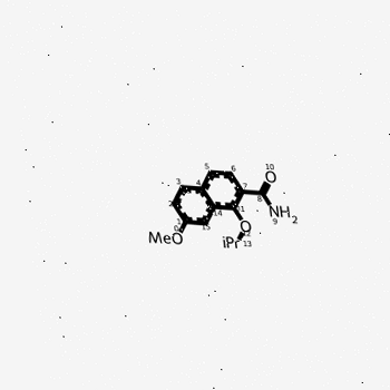 COc1ccc2ccc(C(N)=O)c(OC(C)C)c2c1